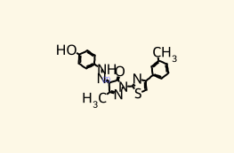 CC1=NN(c2nc(-c3cccc(C)c3)cs2)C(=O)/C1=N\Nc1ccc(O)cc1